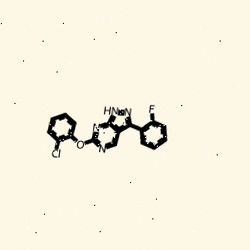 Fc1ccccc1-c1n[nH]c2nc(Oc3ccccc3Cl)ncc12